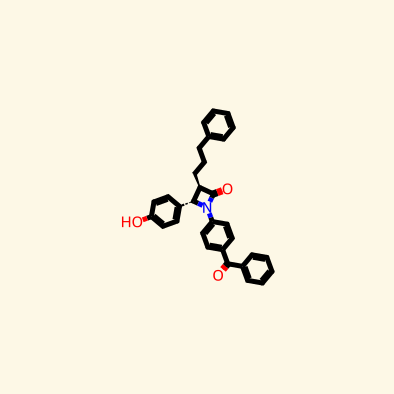 O=C(c1ccccc1)c1ccc(N2C(=O)[C@H](CCCc3ccccc3)[C@H]2c2ccc(O)cc2)cc1